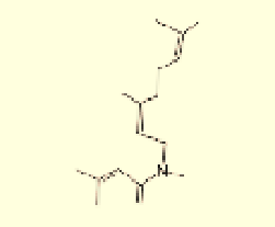 C=C(C=C(C)C)N(C)C/C=C(/C)CCC=C(C)C